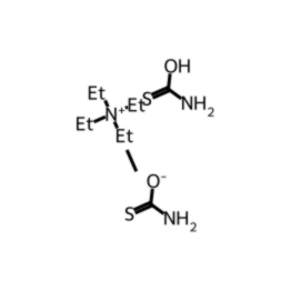 CC.CC[N+](CC)(CC)CC.NC(O)=S.NC([O-])=S